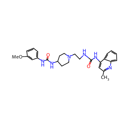 COc1cccc(NC(=O)NC2CCN(CCNC(=O)Nc3cc(C)nc4ccccc34)CC2)c1